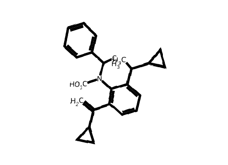 C=C(c1cccc(C(C)C2CC2)c1N(C(=O)O)C(C)c1ccccc1)C1CC1